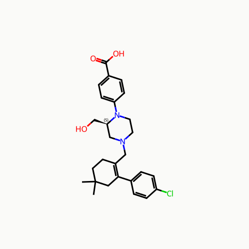 CC1(C)CCC(CN2CCN(c3ccc(C(=O)O)cc3)[C@H](CO)C2)=C(c2ccc(Cl)cc2)C1